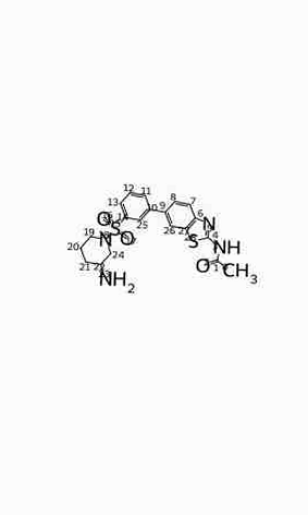 CC(=O)Nc1nc2ccc(-c3cccc(S(=O)(=O)N4CCCC(N)C4)c3)cc2s1